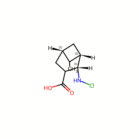 CC1[C@@H]2CC(C(=O)O)[C@@H](NCl)[C@H]1C2